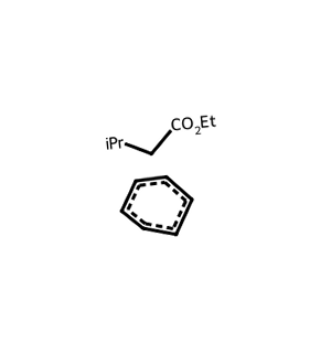 CCOC(=O)CC(C)C.c1ccccc1